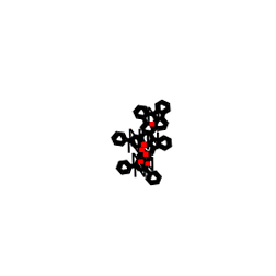 c1ccc(-c2nc(-c3ccccc3)nc(-c3ccc4c(c3)c3ccccc3n4-c3ccc(-c4ccccc4-n4c5ccccc5c5ccccc54)cc3-c3nc(-c4ccccc4)nc(-c4ccccc4)n3)n2)cc1